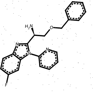 N[C@@H](COCc1ccccc1)c1nc2ccc(F)cc2n1-c1ccccn1